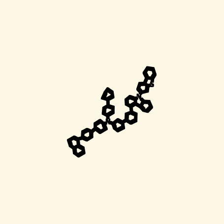 c1ccc(-c2ccc(N(c3ccc(-c4ccc(-c5cccc6ccccc56)cc4)cc3)c3cccc(-c4cccc(-c5cccc6c5c5ccccc5n6-c5ccc6c(c5)sc5ccccc56)c4)c3)cc2)cc1